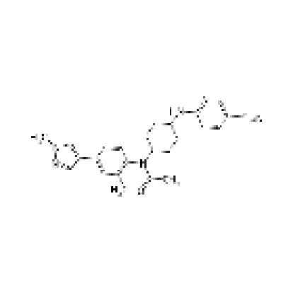 CC(=O)N(c1ccc(-c2cnn(C)c2)cc1C)C1CCC(Nc2ccc(C#N)cn2)CC1